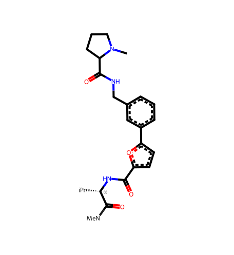 CNC(=O)[C@@H](NC(=O)c1ccc(-c2cccc(CNC(=O)C3CCCN3C)c2)o1)C(C)C